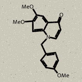 COc1ccc(Cn2ccc(=O)c3cc(OC)c(OC)cc32)cc1